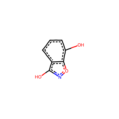 Oc1noc2c(O)cccc12